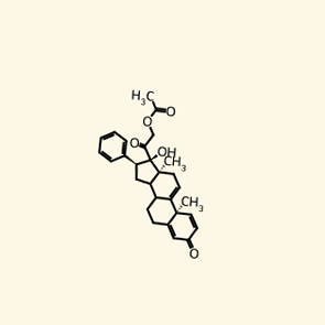 CC(=O)OCC(=O)[C@@]1(O)[C@H](c2ccccc2)CC2C3CCC4=CC(=O)C=C[C@]4(C)C3=CC[C@@]21C